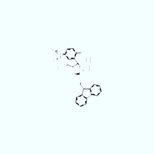 C[C@@](CCO)(NC(=O)OCC1c2ccccc2-c2ccccc21)c1cc([N+](=O)[O-])ccc1F